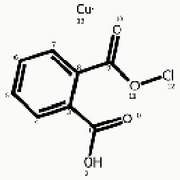 O=C(O)c1ccccc1C(=O)OCl.[Cu]